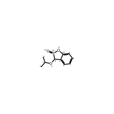 CC(C)OC1c2ccccc2OS1=O